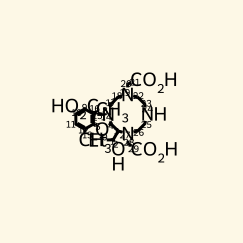 CCC(O)C1C(Oc2c(C)cccc2C)N(CC(=O)O)CCN(CC(=O)O)CCNCCN1CC(=O)O